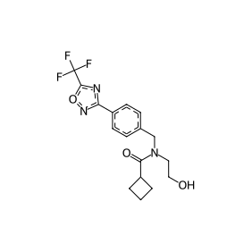 O=C(C1CCC1)N(CCO)Cc1ccc(-c2noc(C(F)(F)F)n2)cc1